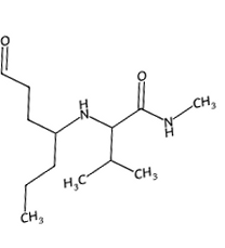 CCCC(CCC=O)NC(C(=O)NC)C(C)C